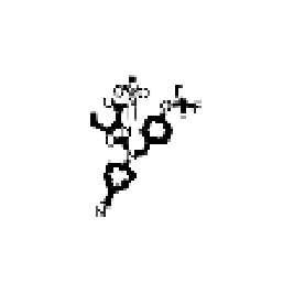 CCc1oc(N(Cc2ccc(OC(F)(F)F)cc2)c2ccc(C#N)cc2)nc1C(=O)NS(C)(=O)=O